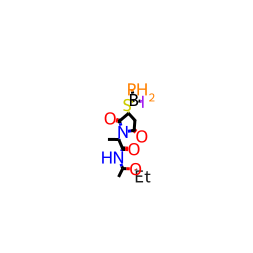 CCOC(C)NC(=O)C(C)N1C(=O)CC(SB(P)I)C1=O